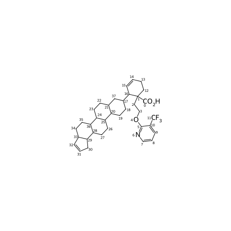 O=C(O)C1(CCOc2ncccc2C(F)(F)F)CCC=CC1C1CCC2C(CCC3C2CCC2C4CC=CC4CCC23)C1